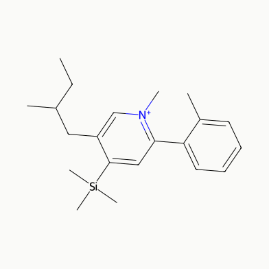 CCC(C)Cc1c[n+](C)c(-c2ccccc2C)cc1[Si](C)(C)C